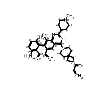 C=CC(=O)N1CC2(CCN(c3nc(C4CCN(C)CC4)nc4c(F)c(-c5c(C)ccc(N)c5C=N)c(C=C)cc34)CC2)C1